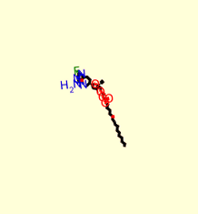 C#C[C@]1(COCOC(=O)OCCCCCCCCCCCCCCCC)O[C@@H](C2C=Nc3c(N)nc(F)nc3CC2)C[C@@H]1C